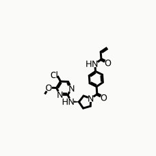 C=CC(=O)Nc1ccc(C(=O)N2CC[C@@H](Nc3ncc(Cl)c(OC)n3)C2)cc1